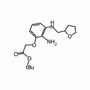 CC(C)(C)OC(=O)COc1cccc(NCC2CCCO2)c1N